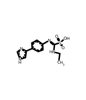 CCN/C(=N\c1ccc(-c2c[nH]cn2)cc1)S(=O)(=O)O